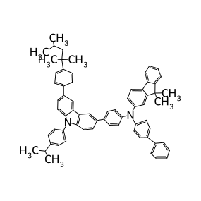 CC(C)CC(C)(C)c1ccc(-c2ccc3c(c2)c2cc(-c4ccc(N(c5ccc(-c6ccccc6)cc5)c5ccc6c(c5)C(C)(C)c5ccccc5-6)cc4)ccc2n3-c2ccc(C(C)C)cc2)cc1